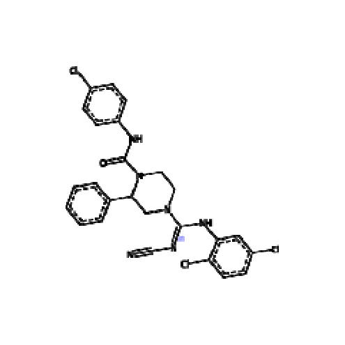 N#C/N=C(/Nc1cc(Cl)ccc1Cl)N1CCN(C(=O)Nc2ccc(Cl)cc2)C(c2ccccc2)C1